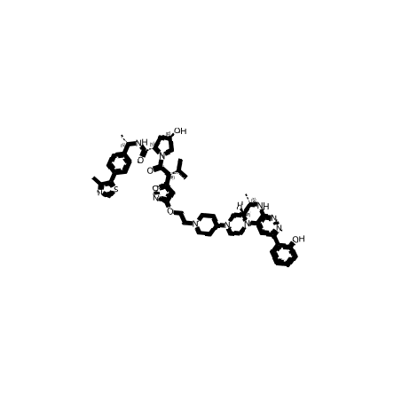 Cc1ncsc1-c1ccc([C@H](C)NC(=O)[C@@H]2C[C@@H](O)CN2C(=O)[C@@H](c2cc(OCCN3CCC(N4CCN5c6cc(-c7ccccc7O)nnc6N[C@@H](C)[C@H]5C4)CC3)no2)C(C)C)cc1